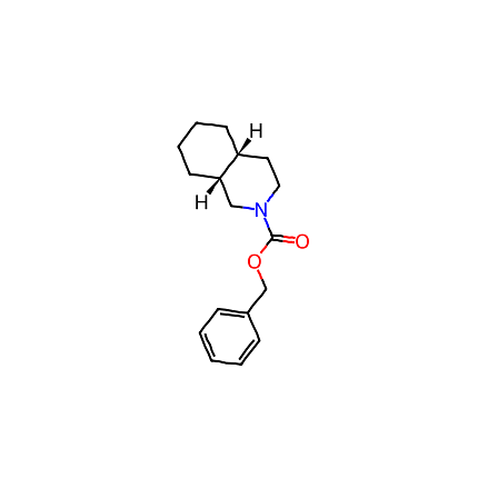 O=C(OCc1ccccc1)N1CC[C@H]2CCCC[C@H]2C1